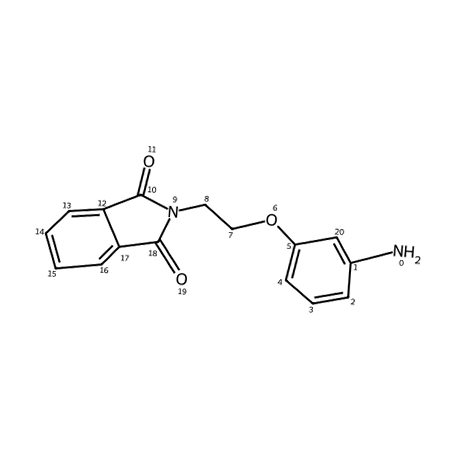 Nc1cccc(OCCN2C(=O)c3ccccc3C2=O)c1